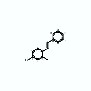 Cc1cc(Br)ccc1C=Cc1ccccc1